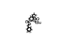 CC(C)(C)OC(=O)N1CCCC12CCN(C(=O)OCc1ccccc1)CC2